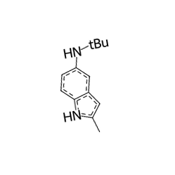 Cc1cc2cc(NC(C)(C)C)ccc2[nH]1